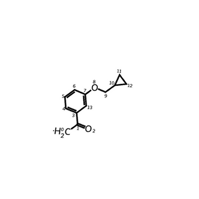 [CH2]C(=O)c1cccc(OCC2CC2)c1